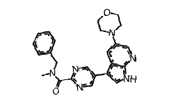 CN(Cc1ccccc1)C(=O)c1ncc(-c2c[nH]c3ncc(N4CCOCC4)cc23)cn1